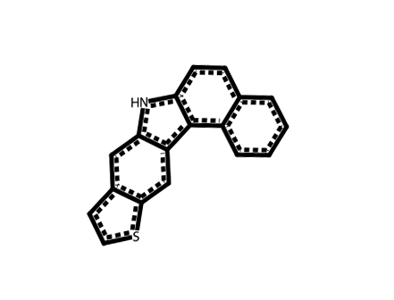 c1ccc2c(c1)ccc1[nH]c3cc4ccsc4cc3c12